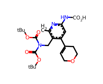 Cc1nc(NC(=O)O)cc(C2=CCOCC2)c1CN(C(=O)OC(C)(C)C)C(=O)OC(C)(C)C